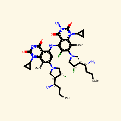 COCC[C@@H](N)[C@H]1CN(c2cc(Nc3c(F)c(N4C[C@H]([C@H](N)CCOC)[C@@H](F)C4)c(OC)c4c3c(=O)n(N)c(=O)n4C3CC3)c3c(=O)[nH]c(=O)n(C4CC4)c3c2OC)C[C@@H]1F